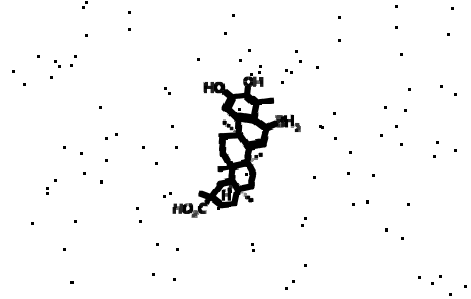 BC1C=C2[C@@](C)(CC[C@@]3(C)[C@@H]4C[C@](C)(C(=O)O)CC[C@]4(C)CC[C@]23C)c2cc(O)c(O)c(C)c21